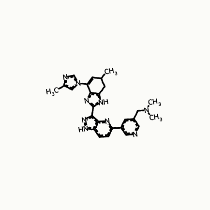 Cc1cn(C2=CC(C)Cc3[nH]c(-c4n[nH]c5ccc(-c6cncc(CN(C)C)c6)nc45)nc32)cn1